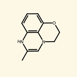 CC1=CN2CCOc3cccc(c32)N1